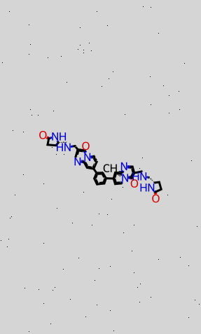 Cc1c(-c2ccn3c(=O)c(CNC[C@@H]4CCC(=O)N4)cnc3c2)cccc1-c1ccn2c(=O)c(CNC[C@@H]3CCC(=O)N3)cnc2c1